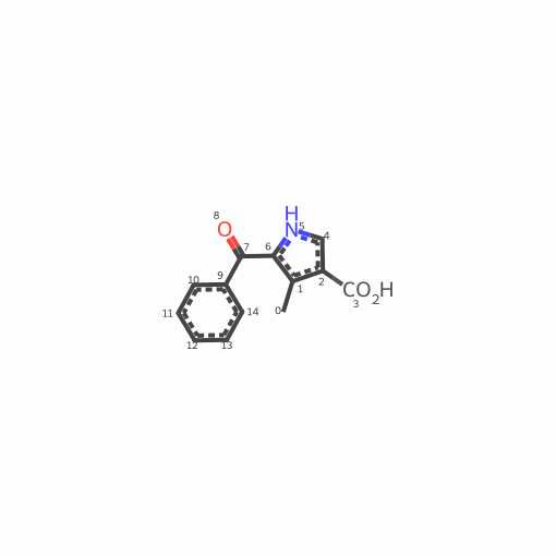 Cc1c(C(=O)O)c[nH]c1C(=O)c1ccccc1